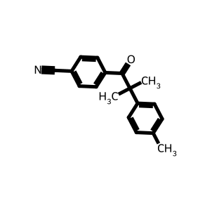 Cc1ccc(C(C)(C)C(=O)c2ccc(C#N)cc2)cc1